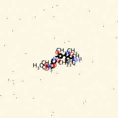 C=Cc1c(-c2cc(OC)c(CN3CCC4(CC3)CN(C(=O)OC(C)(C)C)CCO4)c(OC)c2)cn(C)c(=O)c1/C=C(\C)NC